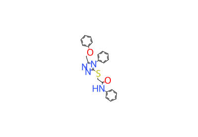 O=C(CSc1nnc(COc2ccccc2)n1-c1ccccc1)Nc1ccccc1